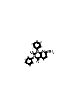 Nc1ccc2c(=O)n(-c3ccccc3)c(=O)n(-c3ccccc3)c2n1